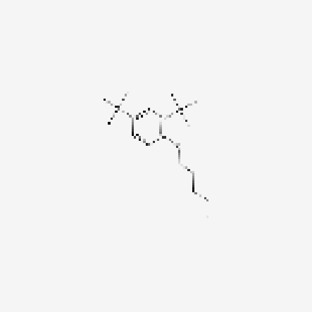 CCCC[CH]Oc1ccc(C(C)(C)C)cc1C(C)(C)C